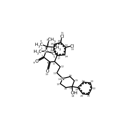 CC(C)(C)[Si](C)(C)C(=O)C(=O)C(CCN1CCC(O)(c2ccccc2)CC1)c1ccc(Cl)c(Cl)c1